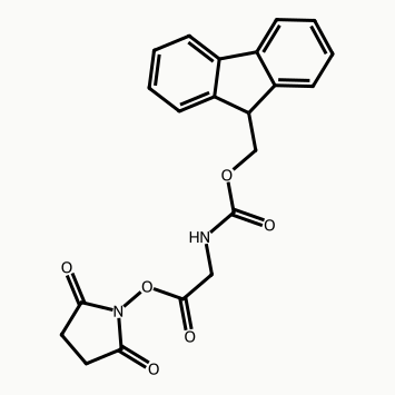 O=C(CNC(=O)OCC1c2ccccc2-c2ccccc21)ON1C(=O)CCC1=O